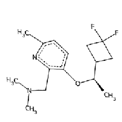 Cc1ccc(O[C@H](C)C2CC(F)(F)C2)c(CN(C)C)n1